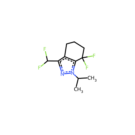 CC(C)n1nc(C(F)F)c2c1C(F)(F)CCC2